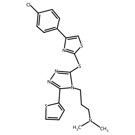 CN(C)CCCn1c(Sc2nc(-c3ccc(Cl)cc3)cs2)nnc1-c1cccs1